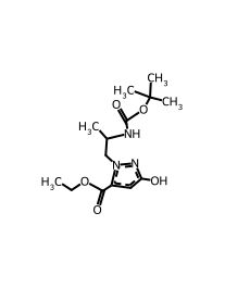 CCOC(=O)c1cc(O)nn1CC(C)NC(=O)OC(C)(C)C